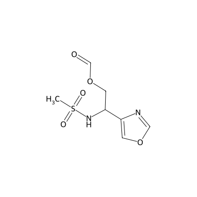 CS(=O)(=O)NC(COC=O)c1cocn1